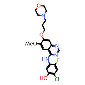 COc1cc2c(Nc3cc(O)c(Cl)cc3F)ncnc2cc1OCCCN1CCOCC1